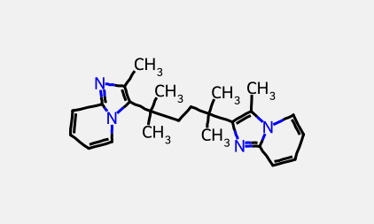 Cc1nc2ccccn2c1C(C)(C)CCC(C)(C)c1nc2ccccn2c1C